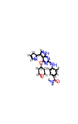 Cc1cc(C(=O)N(C)C)ccc1Nc1nc(OC2CCOCC2)c2c(C3=NC=CC3)c[nH]c2n1